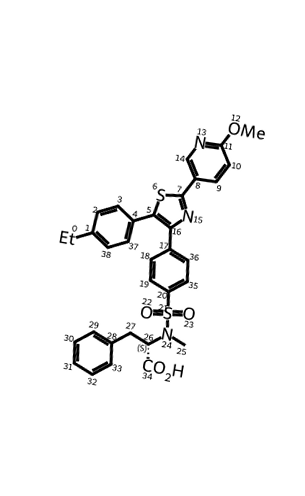 CCc1ccc(-c2sc(-c3ccc(OC)nc3)nc2-c2ccc(S(=O)(=O)N(C)[C@@H](Cc3ccccc3)C(=O)O)cc2)cc1